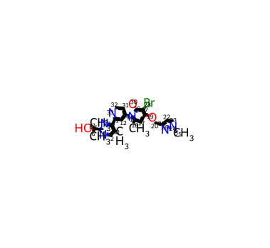 Cc1cnc(C(C)(C)O)nc1-c1cc(-n2c(C)cc(OCc3ccn(C)n3)c(Br)c2=O)ccn1